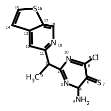 CC(C1=NC(N)C(=S)C(Cl)=N1)c1cc2ccsc2cn1